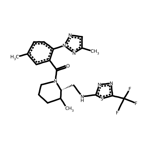 Cc1ccc(-n2ncc(C)n2)c(C(=O)N2CCCC(C)[C@H]2CNc2nnc(C(F)(F)F)s2)c1